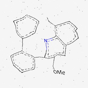 COc1cc2cccc(C)c2nc1-c1ccccc1-c1ccccc1